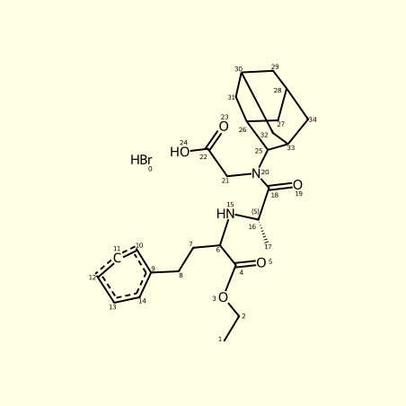 Br.CCOC(=O)C(CCc1ccccc1)N[C@@H](C)C(=O)N(CC(=O)O)C1C2CC3CC(C2)CC1C3